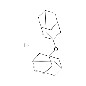 C1C2CC3CC1CC(OC14CC5CC(CC(C5)C1)C4)(C2)C3.[Li]